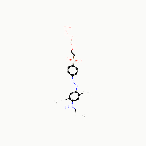 Cc1cc(NCS(=O)(=O)O)c(C)cc1/N=N/c1ccc(S(=O)(=O)CCOSOOO)cc1